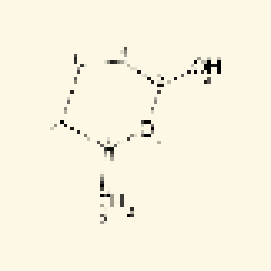 C=C1CCCC(O)O1